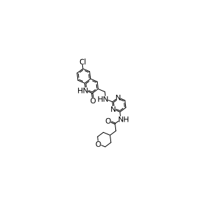 O=C(CC1CCOCC1)Nc1ccnc(NCc2cc3cc(Cl)ccc3[nH]c2=O)n1